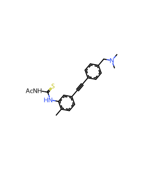 CC(=O)NC(=S)Nc1cc(C#Cc2ccc(CN(C)C)cc2)ccc1C